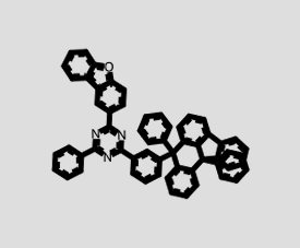 c1ccc(-c2nc(-c3cccc(C4(c5ccccc5)c5ccccc5C5(c6ccccc6)c6ccccc6-c6cccc4c65)c3)nc(-c3ccc4oc5ccccc5c4c3)n2)cc1